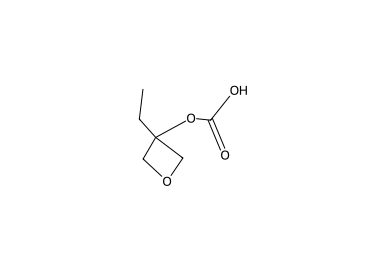 CCC1(OC(=O)O)COC1